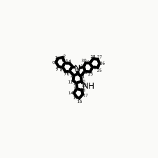 c1ccc2cc3c(cc2c1)c1cc2c4ccccc4[nH]c2c2c4cc5ccccc5cc4n3c12